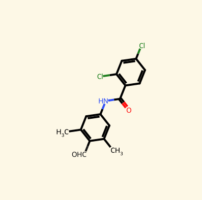 Cc1cc(NC(=O)c2ccc(Cl)cc2Cl)cc(C)c1C=O